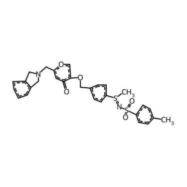 Cc1ccc(S(=O)(=O)/N=S(\C)c2ccc(COc3coc(CN4Cc5ccccc5C4)cc3=O)cc2)cc1